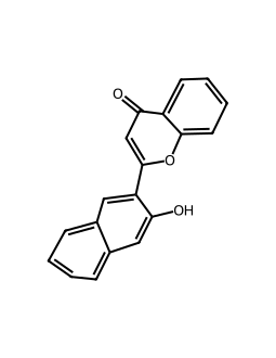 O=c1cc(-c2cc3ccccc3cc2O)oc2ccccc12